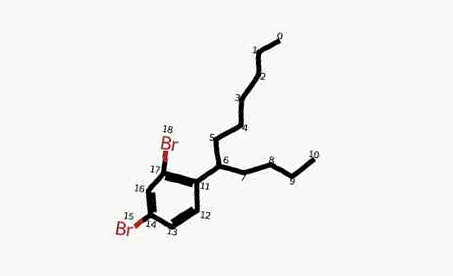 CCCCCCC(CCCC)c1ccc(Br)cc1Br